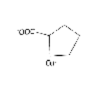 O=C([O-])C1CCCC1.[Cu+]